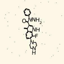 C=C1C(C(=O)N(N)c2ccccc2)=CNc2c1ccc(N1CCNCC1)c2F